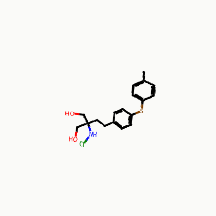 Cc1ccc(Sc2ccc(CCC(CO)(CO)NCl)cc2)cc1